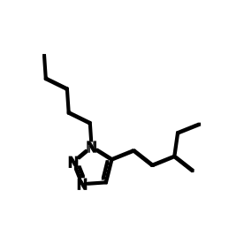 CCCCCn1nncc1CCC(C)CC